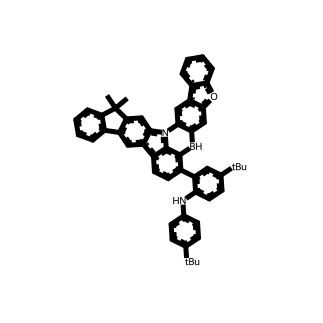 CC(C)(C)c1ccc(Nc2ccc(C(C)(C)C)cc2-c2ccc3c4cc5c(cc4n4c3c2Bc2cc3oc6ccccc6c3cc2-4)C(C)(C)c2ccccc2-5)cc1